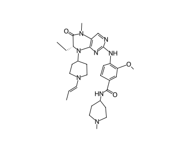 CC=CN1CCC(N2c3nc(Nc4ccc(C(=O)NC5CCN(C)CC5)cc4OC)ncc3N(C)C(=O)[C@H]2CC)CC1